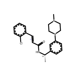 C[C@H](NC(=O)/C=C/c1ccccc1Cl)c1cccc(N2CCN(C)CC2)c1